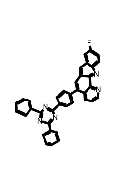 Fc1ccc2nc3c(cc(-c4ccc(-c5nc(-c6ccccc6)nc(-c6ccccc6)n5)cc4)c4cccnc43)cc2c1